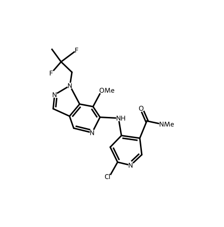 CNC(=O)c1cnc(Cl)cc1Nc1ncc2cnn(CC(C)(F)F)c2c1OC